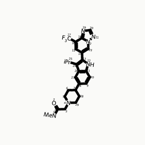 CNC(=O)CN1CCC(c2ccc3[nH]c(-c4cc(C(F)(F)F)c5ncnn5c4)c(C(C)C)c3c2)CC1